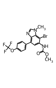 COC(=O)Nc1cc(-c2ccc(OC(F)(F)F)cc2)c2ncn(C)c2c1Br